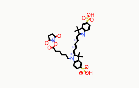 CC1(C)C(/C=C/C=C/C=C2/N(CCCCCC(=O)ON3C(=O)CCC3=O)c3ccc(S(=O)(=O)O)cc3C2(C)C)=Nc2ccc(S(=O)(=O)O)cc21